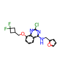 FC1(F)CC(COc2cccc3c(NCc4ccco4)nc(Cl)nc23)C1